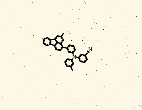 Cc1cccc(N(c2cccc(C#N)c2)c2cccc(-c3ccc4c5c(cc(C)cc35)-c3ccccc3-4)c2)c1